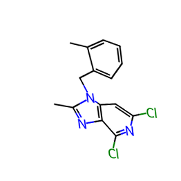 Cc1ccccc1Cn1c(C)nc2c(Cl)nc(Cl)cc21